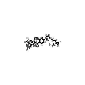 Cn1cc(S(=O)(=O)NC(=O)c2ccc(-n3ccc(OCCC4(C(F)(F)F)CC4)n3)nc2Cl)c([Si](C)(C)C)n1